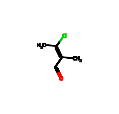 CC(Cl)=C(C)C=O